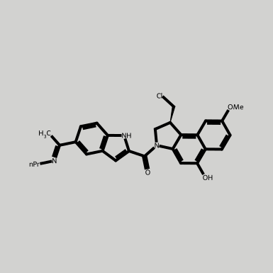 CCCN=C(C)c1ccc2[nH]c(C(=O)N3C[C@@H](CCl)c4c3cc(O)c3ccc(OC)cc43)cc2c1